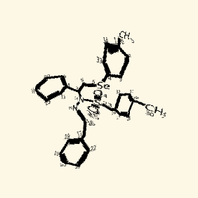 Cc1ccc([Se]CC(c2ccccc2)N(N=Cc2ccccc2)S(=O)(=O)c2ccc(C)cc2)cc1